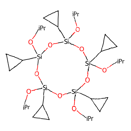 CC(C)O[Si]1(C2CC2)O[Si](OC(C)C)(C2CC2)O[Si](OC(C)C)(C2CC2)O[Si](OC(C)C)(C2CC2)O[Si](OC(C)C)(C2CC2)O1